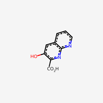 O=C(O)c1nc2ncccc2cc1O